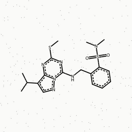 CSc1nc(NCc2ccccc2S(=O)(=O)N(C)C)n2ncc(C(C)C)c2n1